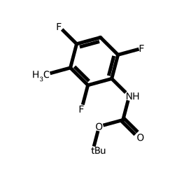 Cc1c(F)cc(F)c(NC(=O)OC(C)(C)C)c1F